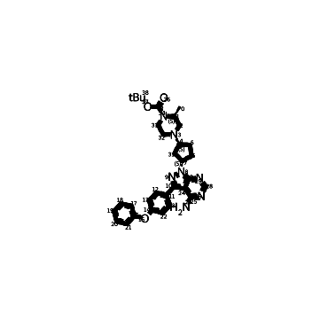 C[C@H]1CN([C@H]2CC[C@H](n3nc(-c4ccc(Oc5ccccc5)cc4)c4c(N)ncnc43)C2)CCN1C(=O)OC(C)(C)C